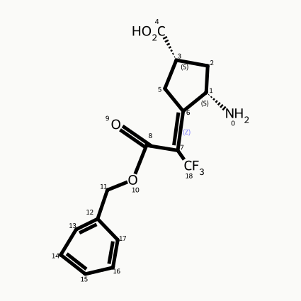 N[C@H]1C[C@@H](C(=O)O)C/C1=C(\C(=O)OCc1ccccc1)C(F)(F)F